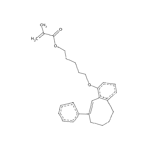 C=C(C)C(=O)OCCCCCOc1cccc2c1/C=C(/c1ccccc1)CCCC2